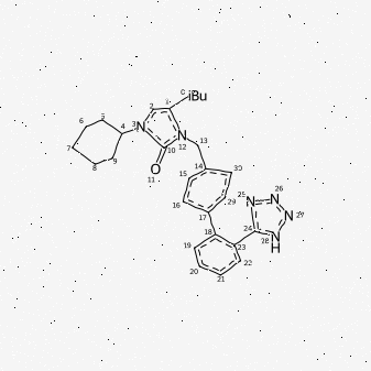 CCC(C)c1cn(C2CCCCC2)c(=O)n1Cc1ccc(-c2ccccc2-c2nnn[nH]2)cc1